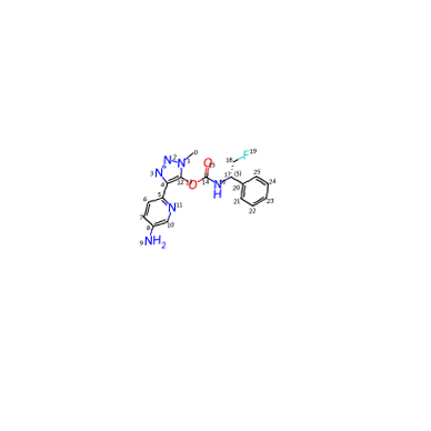 Cn1nnc(-c2ccc(N)cn2)c1OC(=O)N[C@H](CF)c1ccccc1